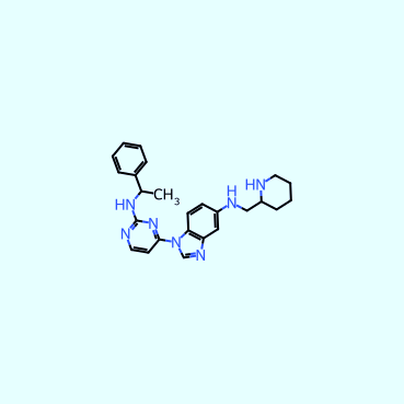 CC(Nc1nccc(-n2cnc3cc(NCC4CCCCN4)ccc32)n1)c1ccccc1